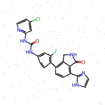 O=C(Nc1ccc(-c2ccc(-c3ncc[nH]3)c3c2CNC3=O)c(F)c1)Nc1cc(Cl)ccn1